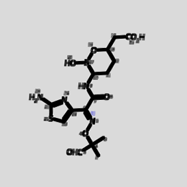 CC(C)(C=O)O/N=C(/C(=O)NC1CCC(CC(=O)O)OB1O)c1csc(N)n1